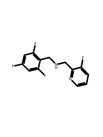 Fc1cc(F)c(CNCc2ncccc2F)c(F)c1